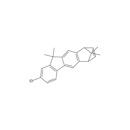 CC1(C)c2cc(Cl)ccc2-c2cc3c(cc21)C1C=CC3C1(C)C